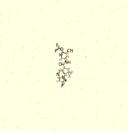 N#Cc1cc(NC(=O)C2CC3(CC3)c3c2cnc2cc(F)nn32)cnc1OC(F)F